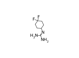 NC(N)=NC1CCC(F)(F)CC1